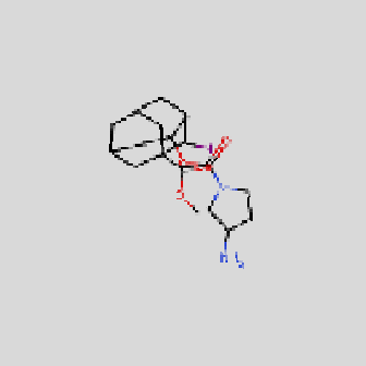 COC(=O)C12CC3CC(C1)C(OC(=O)N1CCC(N)C1)C(C3)C2I